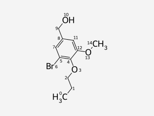 CCCOc1c(Br)cc(CO)cc1OC